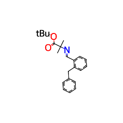 CC(C)(C)OC(=O)C(C)(C)N=Cc1ccccc1Cc1ccccc1